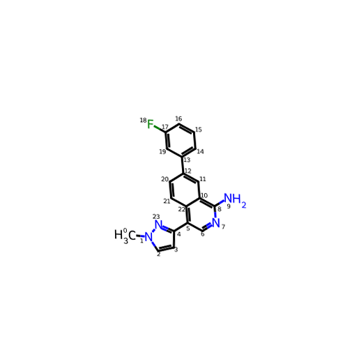 Cn1ccc(-c2cnc(N)c3cc(-c4cccc(F)c4)ccc23)n1